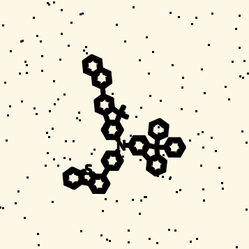 CC1(C)c2cc(-c3ccc4ccccc4c3)ccc2-c2ccc(N(c3ccc(-c4cccc5c4sc4ccccc45)cc3)c3ccc4c(c3)-c3ccccc3C4(C3=CC=CCC3)c3ccccc3)cc21